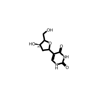 O=c1[nH]cc(C2C[C@@H](O)C(CO)O2)c(=O)[nH]1